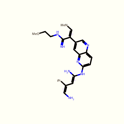 CN/C=C(\C(=N)NCCOC)c1cnc2ccc(N/C(N)=C/C(=C\N)C(C)C)nc2c1